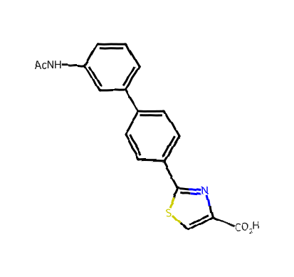 CC(=O)Nc1cccc(-c2ccc(-c3nc(C(=O)O)cs3)cc2)c1